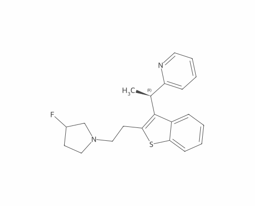 C[C@@H](c1ccccn1)c1c(CCN2CCC(F)C2)sc2ccccc12